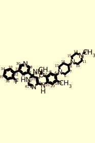 COc1cc(N2CCC(N3CCN(C)CC3)CC2)c(C)cc1NC1=CC(N)(c2cncc(-c3ccccc3F)c2)NC=N1